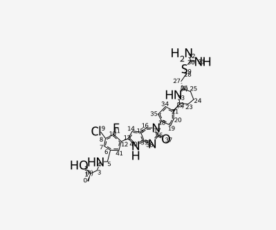 C[C@@H](O)CNCc1cc(Cl)c(F)c(-c2cc3cn(-c4ccc([C@@H]5CCC[C@@H](CCSC(=N)N)N5)cc4)c(=O)nc3[nH]2)c1